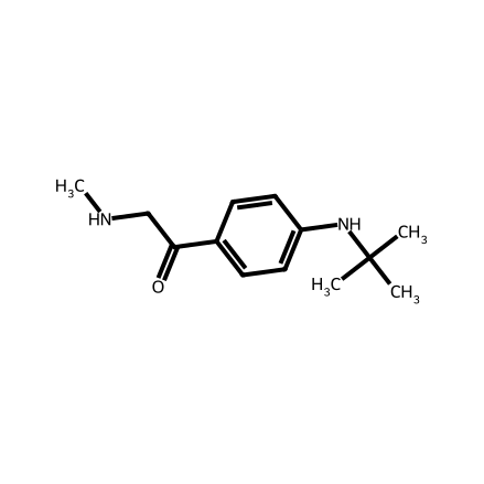 CNCC(=O)c1ccc(NC(C)(C)C)cc1